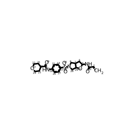 C=CC(=O)NC1CC2CN(S(=O)(=O)c3ccc(NC(=O)C4CCOCC4)cc3)CC2O1